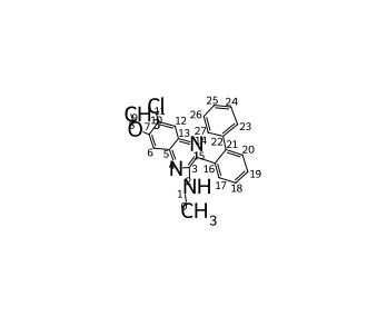 CCNc1nc2cc(OC)c(Cl)cc2nc1-c1ccccc1-c1ccccc1